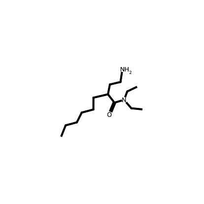 CCCCCCC(CCN)C(=O)N(CC)CC